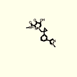 CNC(=O)c1nn(CC2(c3cccc(-c4cnn(C)c4)c3)CC2)cc(O)c1=O